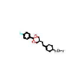 CCCCCCCCCCC1CCC(CCC2COC(c3ccc(F)cc3)OC2)CC1